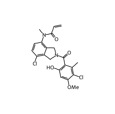 C=CC(=O)N(C)c1ccc(Cl)c2c1CN(C(=O)c1c(O)cc(OC)c(Cl)c1C)C2